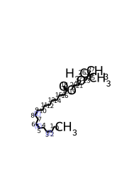 CC/C=C\C/C=C\C/C=C\CCCCCCCC(=O)OCCOCC(C)(C)C